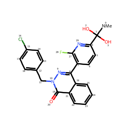 CNC(O)(O)c1ccc(-c2nn(Cc3ccc(Cl)cc3)c(=O)c3ccccc23)c(F)n1